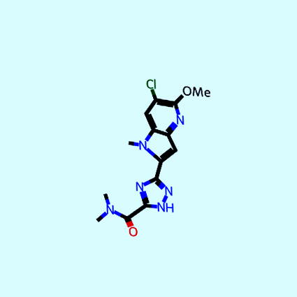 COc1nc2cc(-c3n[nH]c(C(=O)N(C)C)n3)n(C)c2cc1Cl